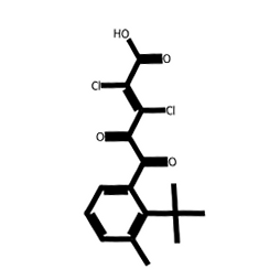 Cc1cccc(C(=O)C(=O)C(Cl)=C(Cl)C(=O)O)c1C(C)(C)C